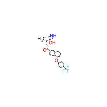 C[C@@H](CCC(=O)c1ccc2c(Oc3ccc(C(F)(F)F)cc3)cccc2c1)C1(O)CNC1